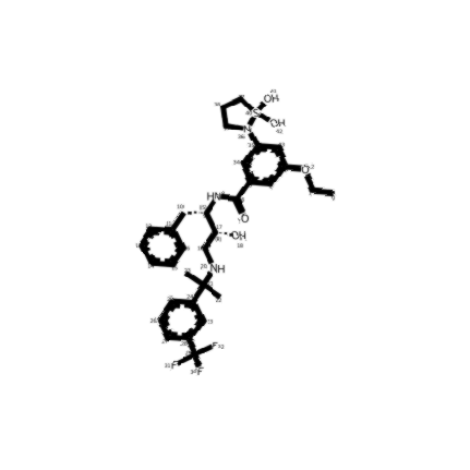 CCOc1cc(C(=O)N[C@@H](Cc2ccccc2)[C@H](O)CNC(C)(C)c2cccc(C(F)(F)F)c2)cc(N2CCCS2(O)O)c1